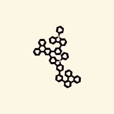 c1ccc(-n2c3ccc(-c4cccc(-c5cccc6c7ccccc7c7ccccc7c56)c4)cc3c3ccc(-c4cc5c6ccccc6c6ccccc6c5cc4-c4cccc(-c5cccc6c5c5ccccc5n6-c5ccccc5)c4)cc32)cc1